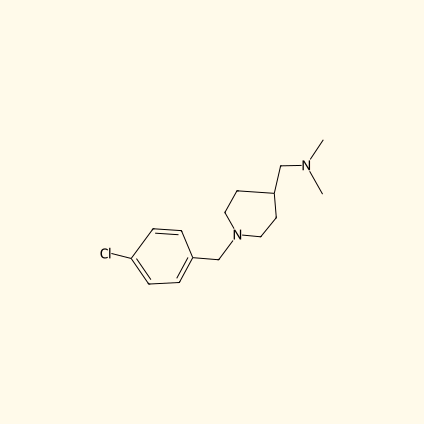 CN(C)CC1CCN(Cc2ccc(Cl)cc2)CC1